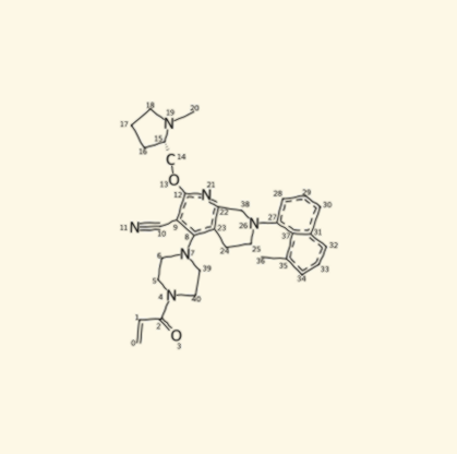 C=CC(=O)N1CCN(c2c(C#N)c(OC[C@@H]3CCCN3C)nc3c2CCN(c2cccc4cccc(C)c24)C3)CC1